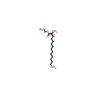 CCCCCCCCCCCCC=C(C)C(=O)OCC